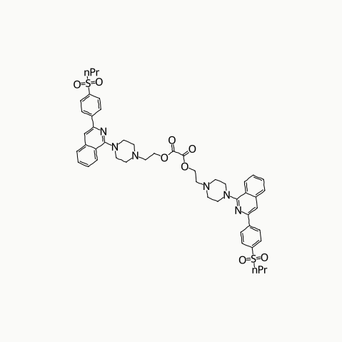 CCCS(=O)(=O)c1ccc(-c2cc3ccccc3c(N3CCN(CCOC(=O)C(=O)OCCN4CCN(c5nc(-c6ccc(S(=O)(=O)CCC)cc6)cc6ccccc56)CC4)CC3)n2)cc1